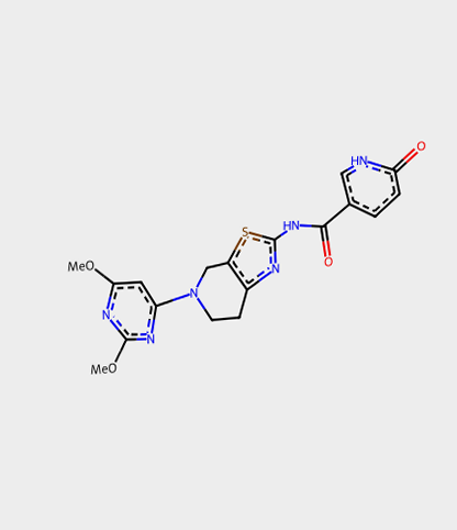 COc1cc(N2CCc3nc(NC(=O)c4ccc(=O)[nH]c4)sc3C2)nc(OC)n1